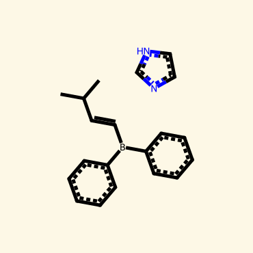 CC(C)C=CB(c1ccccc1)c1ccccc1.c1c[nH]cn1